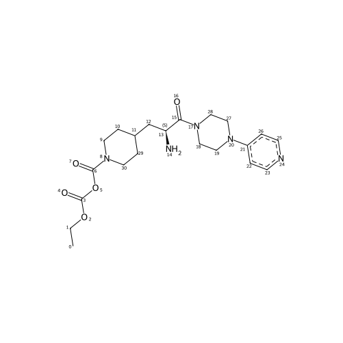 CCOC(=O)OC(=O)N1CCC(C[C@H](N)C(=O)N2CCN(c3ccncc3)CC2)CC1